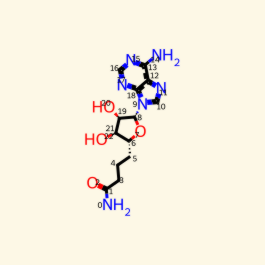 NC(=O)CCC[C@H]1O[C@@H](n2cnc3c(N)ncnc32)[C@H](O)[C@@H]1O